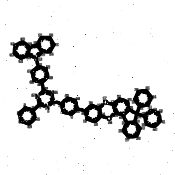 c1ccc(-c2nc(-c3ccc(-c4ccc5c(c4)Oc4ccc6c(c4O5)-c4ccccc4C6(c4ccccc4)c4ccccc4)cc3)nc(-c3ccc(-n4c5ccccc5c5ccccc54)cc3)n2)cc1